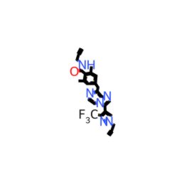 C#CCNC(=O)c1c(C)cc(Cc2nccn3c(-c4cn(CC#C)nc4C(F)(F)F)cnc23)cc1C